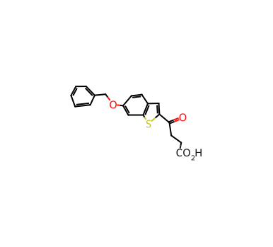 O=C(O)CCC(=O)c1cc2ccc(OCc3ccccc3)cc2s1